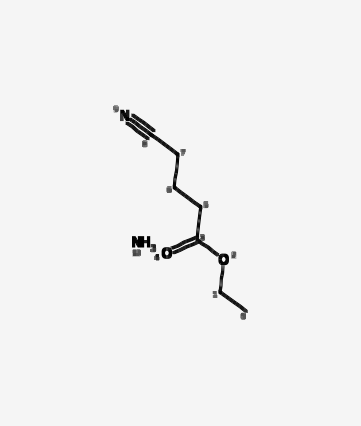 CCOC(=O)CCCC#N.N